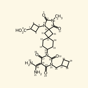 CN1C(=O)N(C2CC(C(=O)O)C2)C2(CC3(CCC(N4C(=O)C(=C(N)N)C(=O)N(CC5CCC5)C4=O)CC3)C2)C1=O